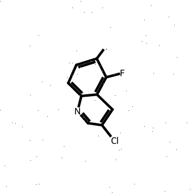 [CH2]c1ccc2ncc(Cl)cc2c1F